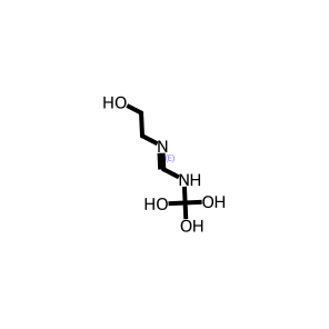 OCC/N=C/NC(O)(O)O